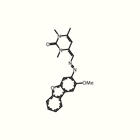 COc1cc2c(cc1N=NC=C1C=C(C)N(C)C(=O)N1C)oc1ccccc12